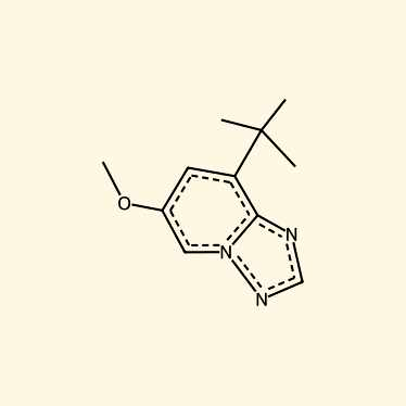 COc1cc(C(C)(C)C)c2ncnn2c1